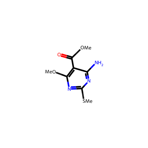 COC(=O)c1c(N)nc(SC)nc1OC